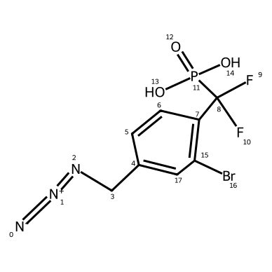 [N-]=[N+]=NCc1ccc(C(F)(F)P(=O)(O)O)c(Br)c1